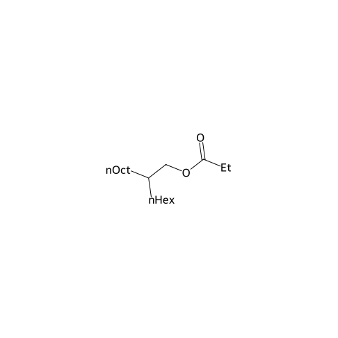 CCCCCCCCC(CCCCCC)COC(=O)CC